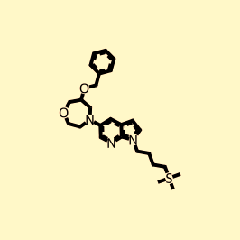 CS(C)(C)CCCCn1ccc2cc(N3CCOCC(OCc4ccccc4)C3)cnc21